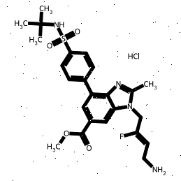 COC(=O)c1cc(-c2ccc(S(=O)(=O)NC(C)(C)C)cc2)c2nc(C)n(CC(F)=CCN)c2c1.Cl